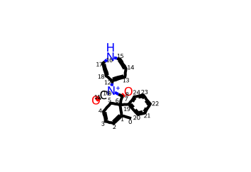 CC1=CC=CCC1(C(=O)[N+](=C=O)C1=CC=CNC=C1)c1ccccc1